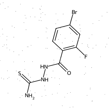 NC(=S)NNC(=O)c1ccc(Br)cc1F